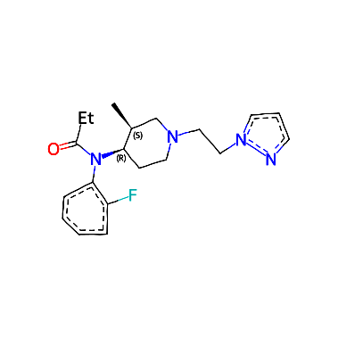 CCC(=O)N(c1ccccc1F)[C@@H]1CCN(CCn2cccn2)C[C@@H]1C